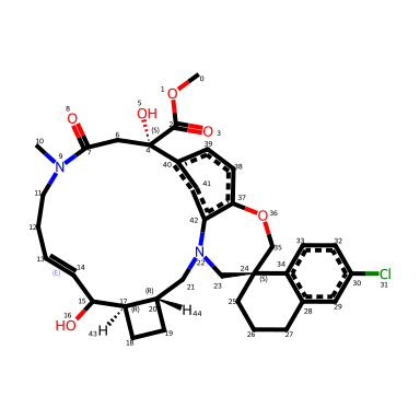 COC(=O)[C@]1(O)CC(=O)N(C)CC/C=C/C(O)[C@@H]2CC[C@H]2CN2C[C@@]3(CCCc4cc(Cl)ccc43)COc3ccc1cc32